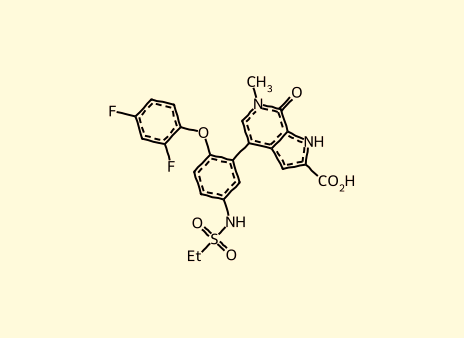 CCS(=O)(=O)Nc1ccc(Oc2ccc(F)cc2F)c(-c2cn(C)c(=O)c3[nH]c(C(=O)O)cc23)c1